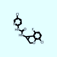 O=C(Nc1ccc(Cl)cn1)NC1C2COc3c(Cl)ccc(F)c3C21